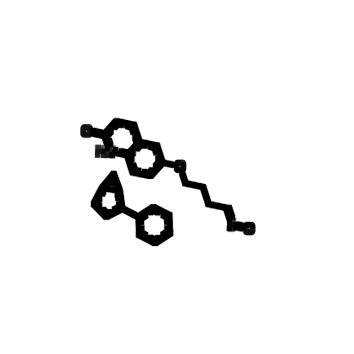 O=S=CCCCOc1ccc2[nH]c(=O)ccc2c1.c1ccc(-c2ccc3cc2-3)cc1